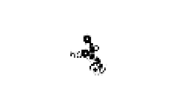 O=C(O)N[C@H]1CCN(C(=O)CN(C(=O)C=Cc2ccccc2)c2ccc(O)cc2)C1